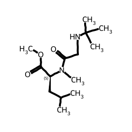 COC(=O)[C@H](CC(C)C)N(C)C(=O)CNC(C)(C)C